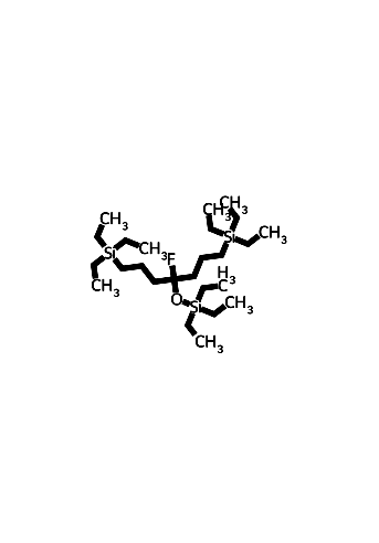 CC[Si](CC)(CC)CCCC(F)(CCC[Si](CC)(CC)CC)O[Si](CC)(CC)CC